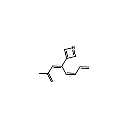 C=C/C=C\C(=C/C(=C)C)C1=CN=C1